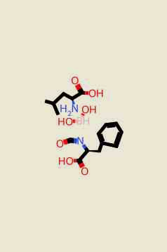 CC(C)C[C@H](N)C(=O)O.O=C=N[C@@H](Cc1ccccc1)C(=O)O.OBO